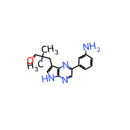 CC(C)(C=O)Cc1c[nH]c2ncc(-c3cccc(N)c3)nc12